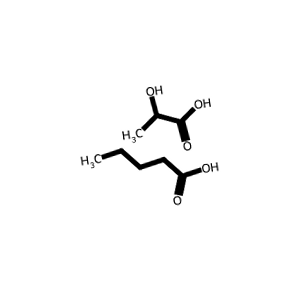 CC(O)C(=O)O.CCCCC(=O)O